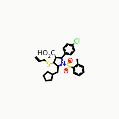 C=CCS[C@@H]1C(CC2CCCC2)N(S(=O)(=O)c2ccccc2C)C(c2ccc(Cl)cc2)[C@@H]1C(=O)O